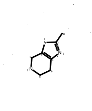 Cc1nc2c(s1)C[N]CC2